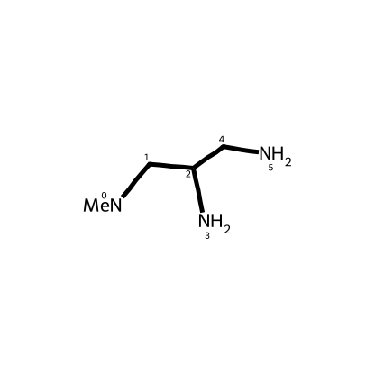 CNCC(N)CN